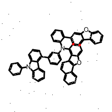 c1ccc(-n2c3ccccc3c3c(-c4cccc(N(c5ccccc5-c5ccc6c(c5)oc5ccccc56)c5cccc6oc7c8ccccc8ccc7c56)c4)cccc32)cc1